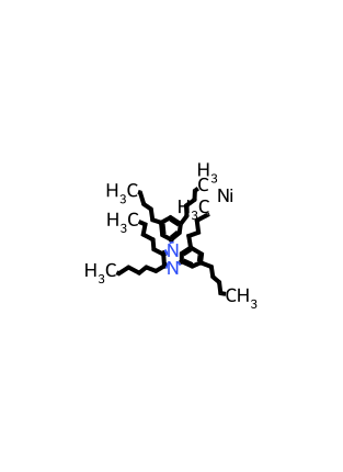 CCCCCCC(=Nc1cc(CCCCC)cc(CCCCC)c1)C(CCCCC)=Nc1cc(CCCCC)cc(CCCCC)c1.[Ni]